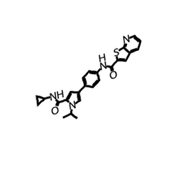 CC(C)n1cc(-c2ccc(NC(=O)c3cc4cccnc4s3)cc2)cc1C(=O)NC1CC1